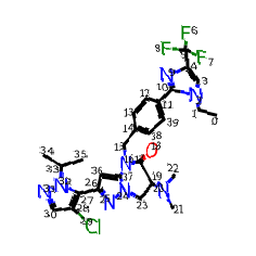 CCn1cc(C(F)(F)F)nc1-c1ccc(CN2C(=O)C(N(C)C)Cn3nc(-c4c(Cl)cnn4C(C)C)cc32)cc1